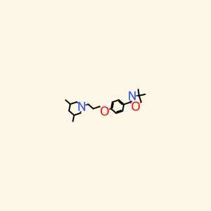 CC1CC(C)CN(CCCOc2ccc(C3=NC(C)(C)CO3)cc2)C1